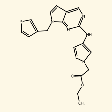 CCOC(=O)Cn1cc(Nc2ncc3ccn(Cc4ccsc4)c3n2)cn1